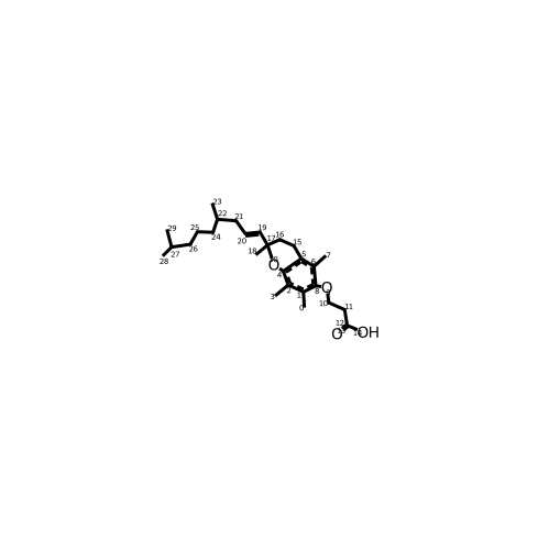 Cc1c(C)c2c(c(C)c1OCCC(=O)O)CCC(C)(/C=C/CC(C)CCCC(C)C)O2